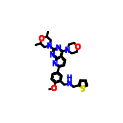 COc1ccc(-c2ccc3c(N4CCOCC4)nc(N4CC(C)OC(C)C4)nc3n2)cc1CNCc1cccs1